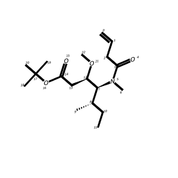 C=CCC(=O)N(C)[C@@H]([C@@H](C)CC)[C@@H](CC(=O)OC(C)(C)C)OC